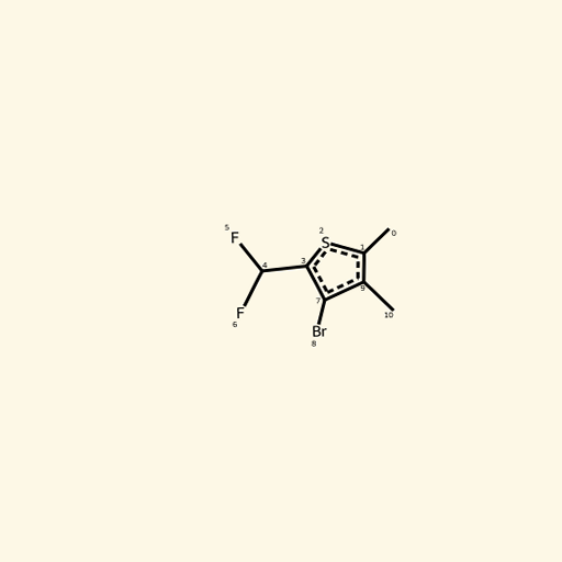 Cc1sc(C(F)F)c(Br)c1C